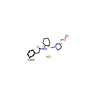 CCOC[C@@H]1CCCN(C[C@H]2CCCC[C@@H]2NC(=O)Cc2cccc(OC)c2)C1.Cl